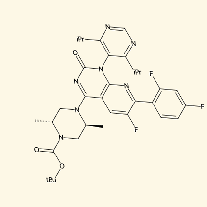 CC(C)c1ncnc(C(C)C)c1-n1c(=O)nc(N2C[C@@H](C)N(C(=O)OC(C)(C)C)C[C@@H]2C)c2cc(F)c(-c3ccc(F)cc3F)nc21